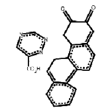 O=C(O)c1cncnn1.O=C1C=c2ccc3c(c2CC1=O)CC=c1ccccc1=3